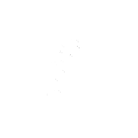 Cc1cnc(CN2C[C@@H](C)[C@H](c3nc4c(cnn4C4CCCC4)c(=O)[nH]3)C2)cn1